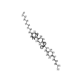 CCCCCCCCCCc1cnc(-c2ccc(OC(=O)CCC3CCC(CCCCCC)CC3)cc2)nc1